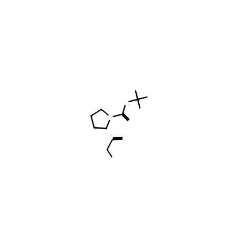 CC(C)(C)OC(=O)N1CCC[C@H]1C(=O)CCl